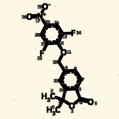 CC1(C)OC(=O)c2ccc(COc3c(F)cc([N+](=O)[O-])cc3F)cc21